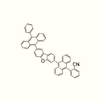 N#Cc1ccccc1-c1c2ccccc2c(-c2ccc3c(c2)oc2ccc(-c4c5ccccc5c(-c5ccccc5)c5ccccc45)cc23)c2ccccc12